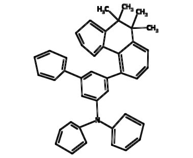 CC1(C)c2ccccc2-c2c(-c3cc(-c4ccccc4)cc(N(c4ccccc4)c4ccccc4)c3)cccc2C1(C)C